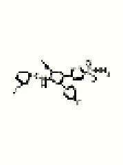 COc1cccc(CNc2nc(-c3ccc(F)cc3)c(-c3ccc(S(N)(=O)=O)cc3)cc2C#N)c1